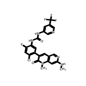 CNc1cc2c(cn1)cc(-c1cc(NC(=O)Nc3cncc(C(F)(F)F)c3)c(F)cc1Cl)c(=O)n2C